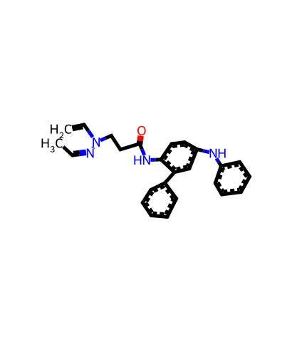 C=CN(CCC(=O)Nc1ccc(Nc2ccccc2)cc1-c1ccccc1)/N=C\C